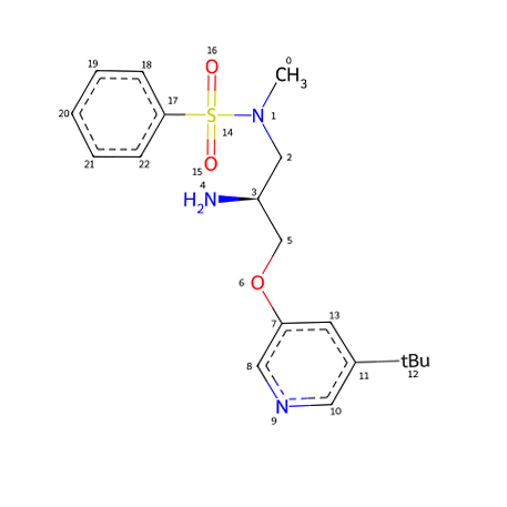 CN(C[C@H](N)COc1cncc(C(C)(C)C)c1)S(=O)(=O)c1ccccc1